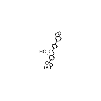 CC(C)(C)OC(=O)c1ccc(CC(C(=O)O)c2ccc(-c3ccc4c(c3)CCO4)cc2)cc1